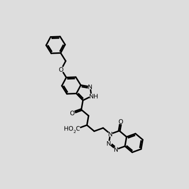 O=C(CC(CCn1nnc2ccccc2c1=O)C(=O)O)c1[nH]nc2cc(OCc3ccccc3)ccc12